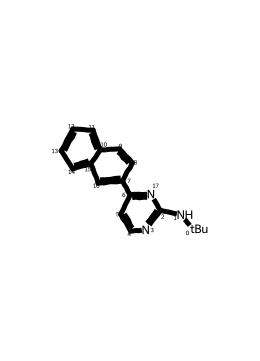 CC(C)(C)Nc1nccc(-c2ccc3ccccc3c2)n1